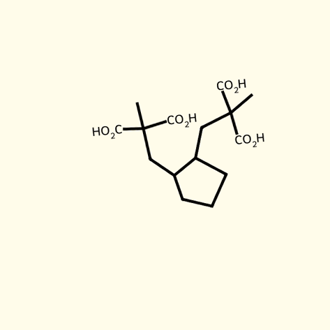 CC(CC1CCCC1CC(C)(C(=O)O)C(=O)O)(C(=O)O)C(=O)O